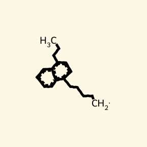 [CH2]CCCCc1ccc(CCC)c2ccccc12